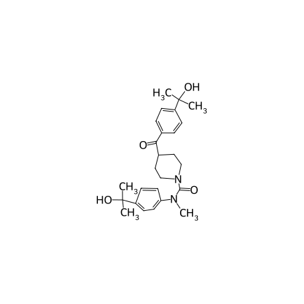 CN(C(=O)N1CCC(C(=O)c2ccc(C(C)(C)O)cc2)CC1)c1ccc(C(C)(C)O)cc1